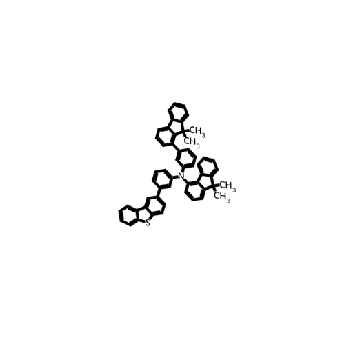 CC1(C)c2ccccc2-c2c(N(c3cccc(-c4ccc5sc6ccccc6c5c4)c3)c3cccc(-c4cccc5c4C(C)(C)c4ccccc4-5)c3)cccc21